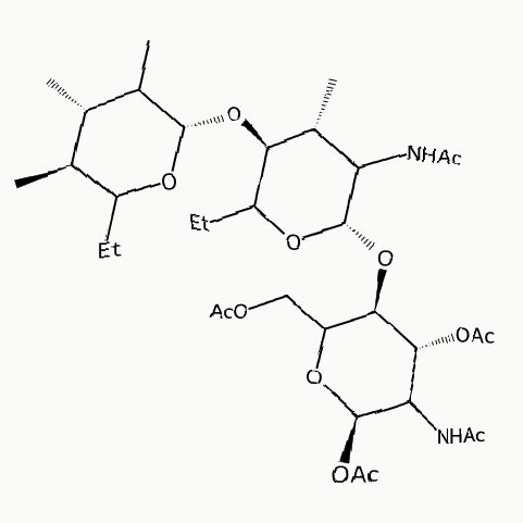 CCC1O[C@@H](O[C@@H]2C(CC)O[C@@H](O[C@@H]3C(COC(C)=O)O[C@H](OC(C)=O)C(NC(C)=O)[C@H]3OC(C)=O)C(NC(C)=O)[C@H]2C)C(C)[C@@H](C)[C@@H]1C